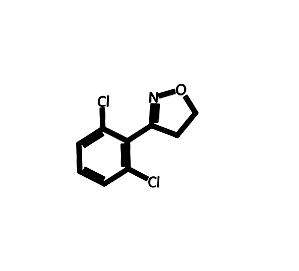 Clc1cccc(Cl)c1C1=NOCC1